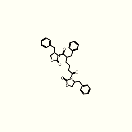 O=C(CCCC(Cc1ccccc1)C(=O)N1C(=O)OCC1Cc1ccccc1)N1C(=O)OCC1Cc1ccccc1